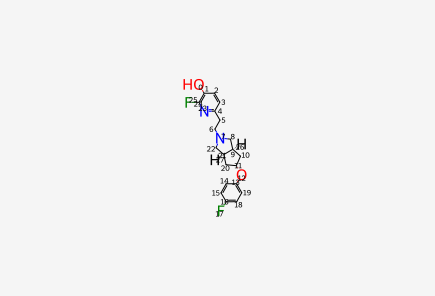 Oc1ccc(CCN2C[C@H]3C[C@H](Oc4ccc(F)cc4)C[C@H]3C2)nc1F